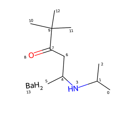 CC(C)NC(C)CC(=O)C(C)(C)C.[BaH2]